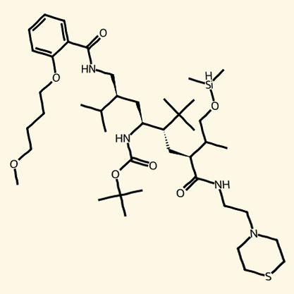 COCCCCOc1ccccc1C(=O)NC[C@@H](C[C@H](NC(=O)OC(C)(C)C)[C@@H](C[C@H](C(=O)NCCN1CCSCC1)C(C)CO[SiH](C)C)C(C)(C)C)C(C)C